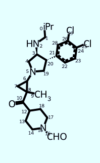 CC(C)CN[C@@H]1CN(C2CC2(C)C(=O)C2CCN(C=O)CC2)C[C@H]1c1ccc(Cl)c(Cl)c1